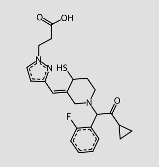 O=C(O)CCn1ccc(C=C2CN(C(C(=O)C3CC3)c3ccccc3F)CCC2S)n1